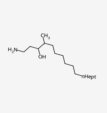 CCCCCCCCCCCCC[C](C)C(O)CCN